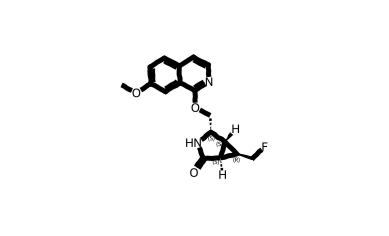 COc1ccc2ccnc(OC[C@H]3NC(=O)[C@@H]4[C@H](CF)[C@H]43)c2c1